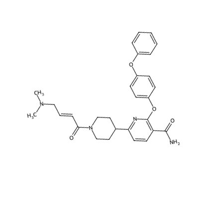 CN(C)CC=CC(=O)N1CCC(c2ccc(C(N)=O)c(Oc3ccc(Oc4ccccc4)cc3)n2)CC1